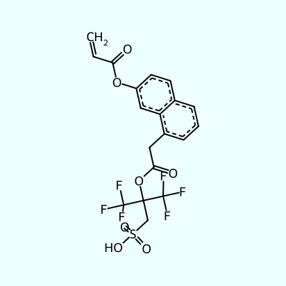 C=CC(=O)Oc1ccc2cccc(CC(=O)OC(CS(=O)(=O)O)(C(F)(F)F)C(F)(F)F)c2c1